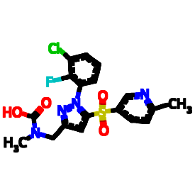 Cc1ccc(S(=O)(=O)c2cc(CN(C)C(=O)O)nn2-c2cccc(Cl)c2F)cn1